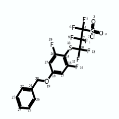 O=S(=O)(Cl)C(F)(F)C(F)(F)C(F)(F)Sc1c(F)cc(OCc2ccccc2)cc1F